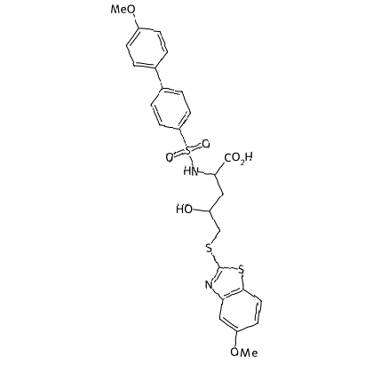 COc1ccc(-c2ccc(S(=O)(=O)NC(CC(O)CSc3nc4cc(OC)ccc4s3)C(=O)O)cc2)cc1